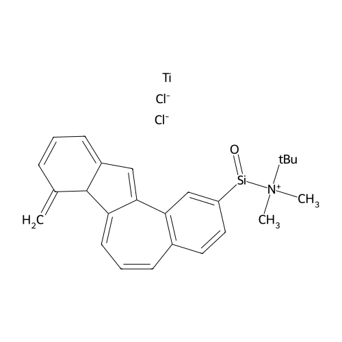 C=C1C=CC=C2C=C3C(=CC=Cc4ccc([Si](=O)[N+](C)(C)C(C)(C)C)cc43)C12.[Cl-].[Cl-].[Ti]